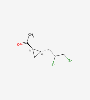 CC(=O)[C@@H]1C[C@H]1CC(Br)CBr